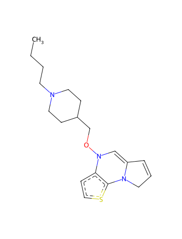 CCCCN1CCC(CON2C=C3C=CCN3c3sccc32)CC1